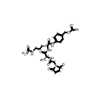 CC(C)C(=O)OCc1ccc(NC(=O)[C@H](CCCNC(N)=O)NC(=O)[C@@H](NC(=O)CN2C(=O)C=CC2=O)C(C)C)cc1